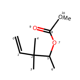 C=CC(C)(C)C(C)OC(=O)OC